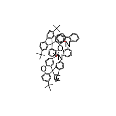 CC(C)(C)c1ccc2c(c1)C1(c3cc(C(C)(C)C)ccc3O2)c2ccccc2-c2ccc(N(c3cccc(-n4c5ccccc5c5ccccc54)c3)c3cccc4c3Oc3ccccc3C43c4cc(C(C)(C)C)ccc4-c4ccc(C(C)(C)C)cc43)cc21